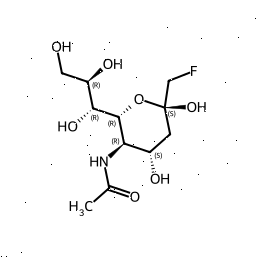 CC(=O)N[C@H]1[C@H]([C@H](O)[C@H](O)CO)O[C@](O)(CF)C[C@@H]1O